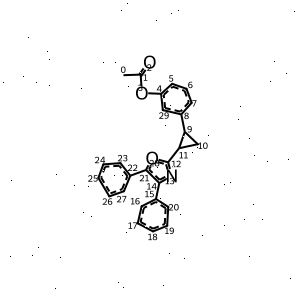 CC(=O)Oc1cccc(C2CC2c2nc(-c3ccccc3)c(-c3ccccc3)o2)c1